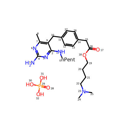 CCCCCNc1nc(N)nc(C)c1Cc1ccc(CC(=O)OCCCCN(C)C)cc1.O=P(O)(O)O